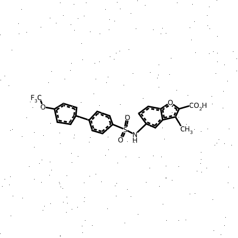 Cc1c(C(=O)O)oc2ccc(NS(=O)(=O)c3ccc(-c4ccc(OC(F)(F)F)cc4)cc3)cc12